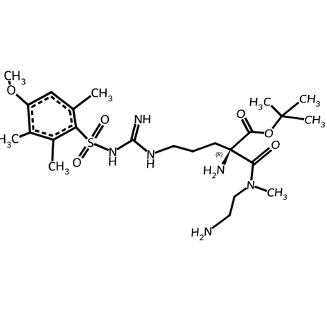 COc1cc(C)c(S(=O)(=O)NC(=N)NCCC[C@](N)(C(=O)OC(C)(C)C)C(=O)N(C)CCN)c(C)c1C